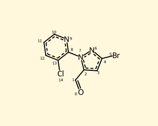 O=Cc1cc(Br)nn1-c1ncccc1Cl